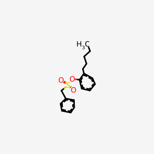 CCCCCc1ccccc1OS(=O)(=O)Cc1ccccc1